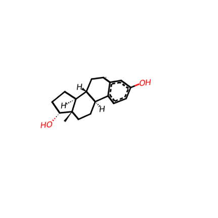 C[C@]12CC[C@@H]3c4ccc(O)cc4[CH]C[C@H]3[C@@H]1CC[C@H]2O